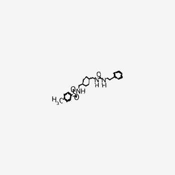 Cc1ccc(S(=O)(=O)NCC2CCC(CNC(=O)NCCc3ccccc3)CC2)cc1